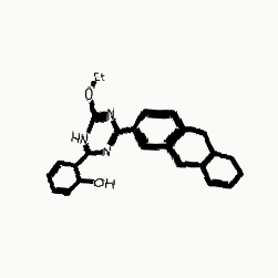 CCOC1=NC(c2ccc3c(c2)CC2C=CCCC2C3)=NC(C2C=CC=CC2O)N1